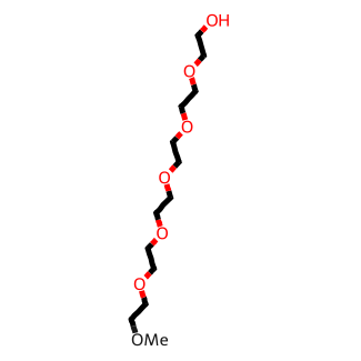 COCCOCCOCCOCCOCCOCCO